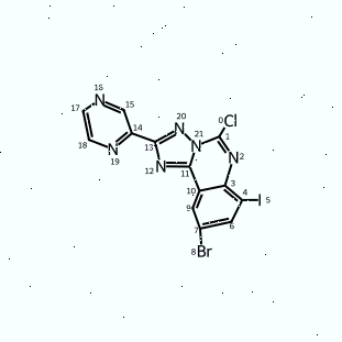 Clc1nc2c(I)cc(Br)cc2c2nc(-c3cnccn3)nn12